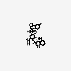 CNc1cc(NS(=O)(=O)c2ccc(C)cc2Cl)cc(O)c1Oc1cnc2ccccc2c1